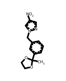 CC1(c2cccc(Cn3cc([N+](=O)[O-])cn3)c2)OCCO1